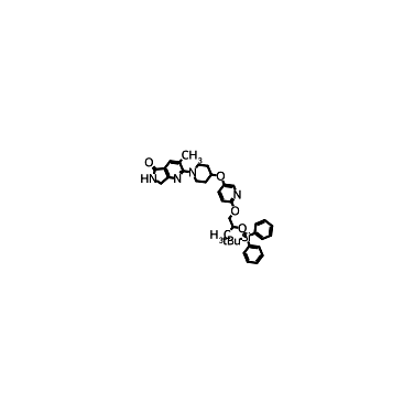 Cc1cc2c(nc1N1CCC(Oc3ccc(OCC(C)O[Si](c4ccccc4)(c4ccccc4)C(C)(C)C)nc3)CC1)CNC2=O